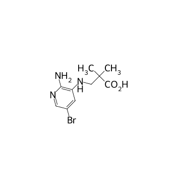 CC(C)(CNc1cc(Br)cnc1N)C(=O)O